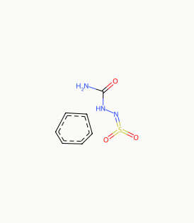 NC(=O)NN=S(=O)=O.c1ccccc1